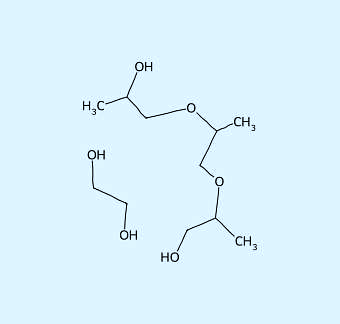 CC(O)COC(C)COC(C)CO.OCCO